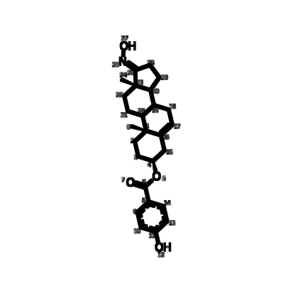 C[C@]12CC[C@H](OC(=O)c3ccc(O)cc3)CC1=CCC1C2CC[C@]2(C)C(=NO)CCC12